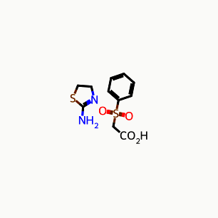 NC1=NCCS1.O=C(O)CS(=O)(=O)c1ccccc1